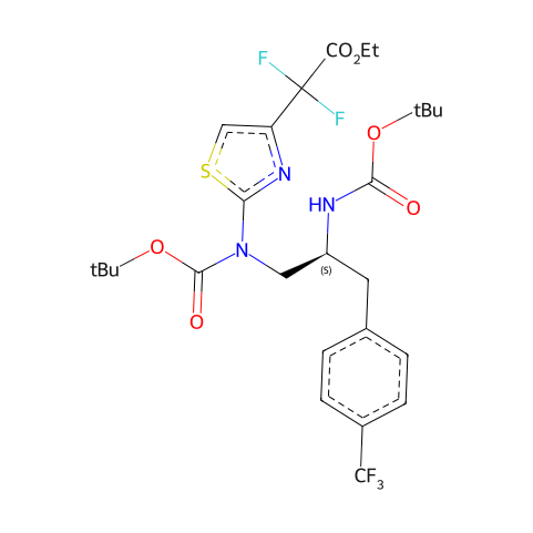 CCOC(=O)C(F)(F)c1csc(N(C[C@H](Cc2ccc(C(F)(F)F)cc2)NC(=O)OC(C)(C)C)C(=O)OC(C)(C)C)n1